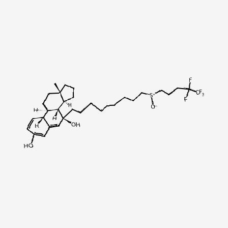 C[C@@]12CCC[C@H]1[C@H]1[C@H](CC2)[C@H]2C=CC(O)=CC2=C[C@@]1(O)CCCCCCCCC[S+]([O-])CCCC(F)(F)C(F)(F)F